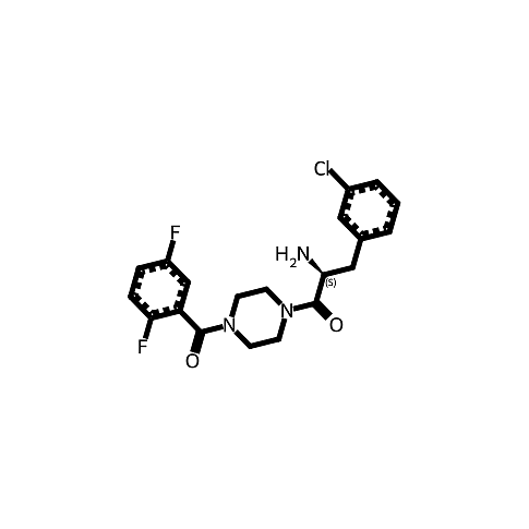 N[C@@H](Cc1cccc(Cl)c1)C(=O)N1CCN(C(=O)c2cc(F)ccc2F)CC1